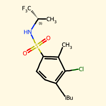 CCC(C)c1ccc(S(=O)(=O)N[C@@H](C)C(F)(F)F)c(C)c1Cl